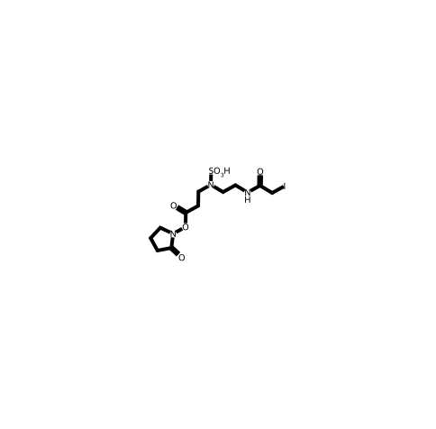 O=C(CI)NCCN(CCC(=O)ON1CCCC1=O)S(=O)(=O)O